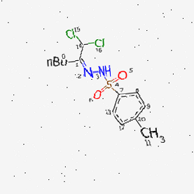 CCCCC(=NNS(=O)(=O)c1ccc(C)cc1)C(Cl)Cl